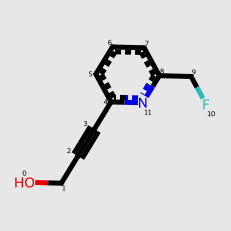 OCC#Cc1cccc(CF)n1